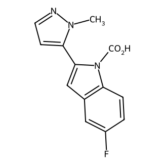 Cn1nccc1-c1cc2cc(F)ccc2n1C(=O)O